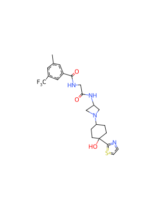 Cc1cc(C(=O)NCC(=O)NC2CN(C3CCC(O)(c4nccs4)CC3)C2)cc(C(F)(F)F)c1